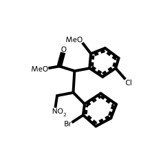 COC(=O)C(c1cc(Cl)ccc1OC)C(C[N+](=O)[O-])c1ccccc1Br